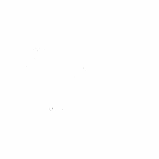 COC(=O)c1ccc(S(=O)(=O)N(Cc2ccc(F)cc2)Cc2ccc(OC)cc2)cc1